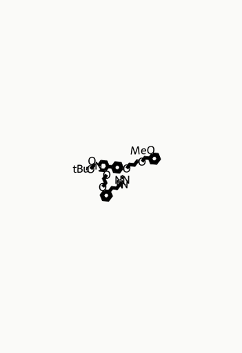 COc1ccccc1COCCCOc1ccc(C2CCN(C(=O)OC(C)(C)C)CC2OCCOc2ccccc2CCn2ncnn2)cc1